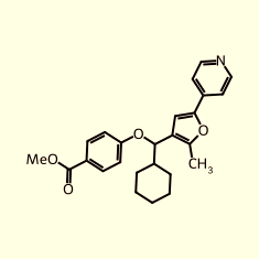 COC(=O)c1ccc(OC(c2cc(-c3ccncc3)oc2C)C2CCCCC2)cc1